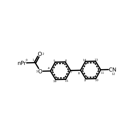 CCCC(=O)Oc1ccc(-c2ccc(C#N)cc2)cc1